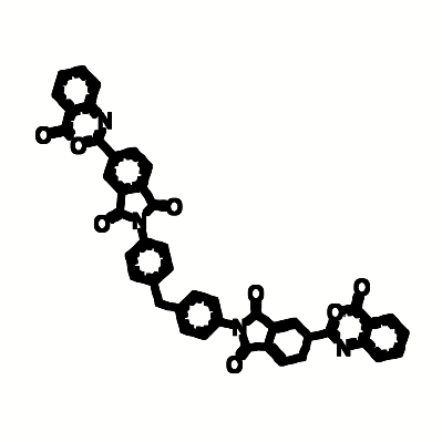 O=C1C2=CCC(c3nc4ccccc4c(=O)o3)C=C2C(=O)N1c1ccc(Cc2ccc(N3C(=O)c4ccc(-c5nc6ccccc6c(=O)o5)cc4C3=O)cc2)cc1